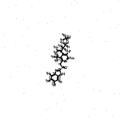 [2H]C([2H])=C(c1c([2H])c([2H])nc(C[S+]([O-])c2nc3c([2H])c([2H])c([2H])c([2H])c3[nH]2)c1C([2H])([2H])[2H])C([2H])([2H])C([2H])([2H])OC([2H])([2H])[2H]